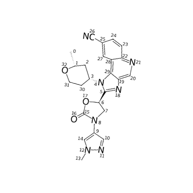 C[C@@H]1C[C@H](n2c([C@H]3CN(c4cnn(C)c4)C(=O)O3)nc3cnc4ccc(C#N)cc4c32)CCO1